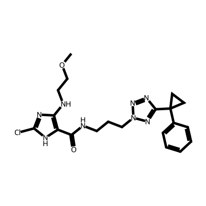 COCCNc1nc(Cl)[nH]c1C(=O)NCCCn1nnc(C2(c3ccccc3)CC2)n1